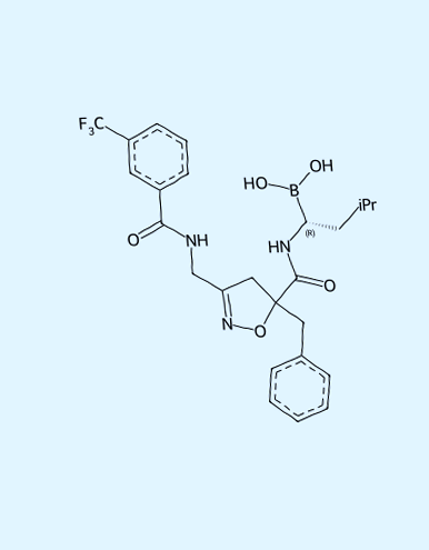 CC(C)C[C@H](NC(=O)C1(Cc2ccccc2)CC(CNC(=O)c2cccc(C(F)(F)F)c2)=NO1)B(O)O